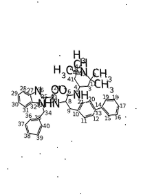 CC1(C)CC(NC(=O)C(Cc2ccc(-c3ccccc3)cc2)NC(=O)c2nc3ccccc3n2Cc2ccccc2)CC(C)(C)N1